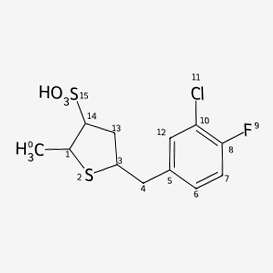 CC1SC(Cc2ccc(F)c(Cl)c2)CC1S(=O)(=O)O